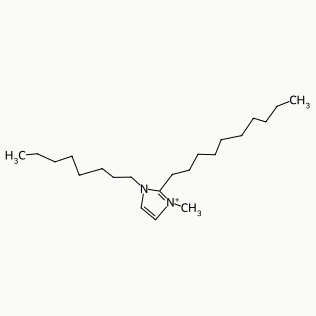 CCCCCCCCCCc1n(CCCCCCCC)cc[n+]1C